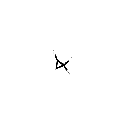 FC1CC1(F)[S]